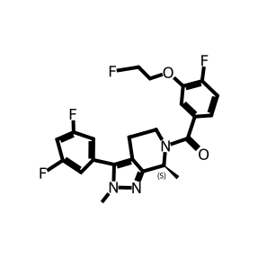 C[C@H]1c2nn(C)c(-c3cc(F)cc(F)c3)c2CCN1C(=O)c1ccc(F)c(OCCF)c1